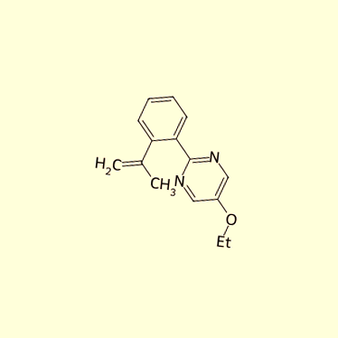 C=C(C)c1ccccc1-c1ncc(OCC)cn1